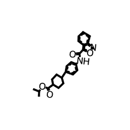 CC(C)OC(=O)C1CCC(c2ccc(NC(=O)c3onc4ccccc34)cc2)CC1